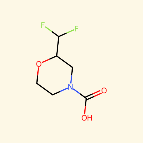 O=C(O)N1CCOC(C(F)F)C1